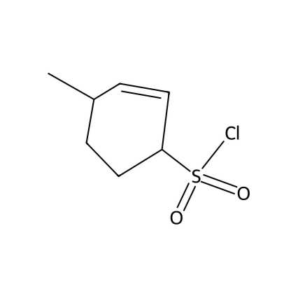 CC1C=CC(S(=O)(=O)Cl)CC1